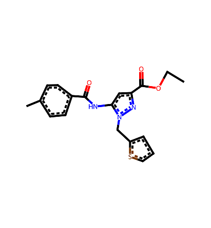 CCOC(=O)c1cc(NC(=O)c2ccc(C)cc2)n(Cc2cccs2)n1